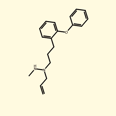 C=CCN(CCCc1ccccc1Oc1ccccc1)NC